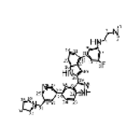 CN(C)CCNc1cc(F)cc(-c2cccc3[nH]c(-c4n[nH]c5ccc(-c6cncc(CN7CCCC7)c6)cc45)cc23)c1